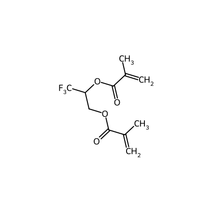 C=C(C)C(=O)OCC(OC(=O)C(=C)C)C(F)(F)F